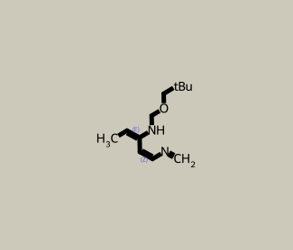 C=N/C=C\C(=C/C)NCOCC(C)(C)C